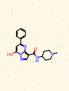 CN1CCC(NC(=O)c2cnn3c(O)cc(-c4ccccc4)nc23)CC1